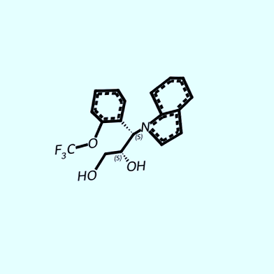 OC[C@@H](O)[C@H](c1ccccc1OC(F)(F)F)n1ccc2ccccc21